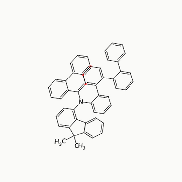 CC1(C)c2ccccc2-c2c(N(c3ccccc3-c3ccccc3-c3ccccc3-c3ccccc3)c3cc4ccccc4c4ccccc34)cccc21